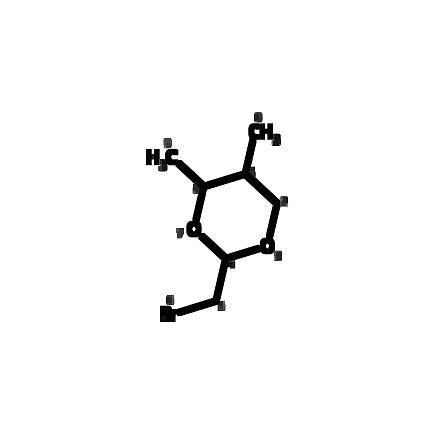 CC1COC(CBr)OC1C